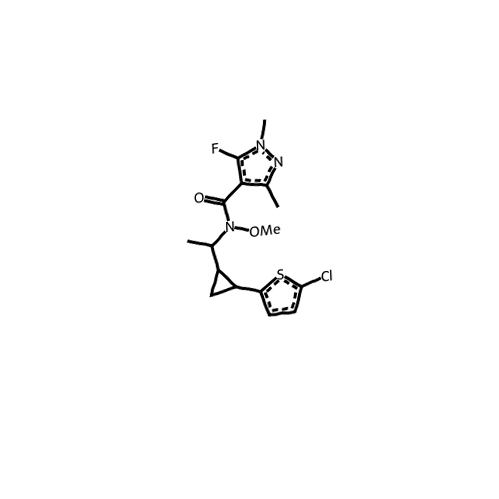 CON(C(=O)c1c(C)nn(C)c1F)C(C)C1CC1c1ccc(Cl)s1